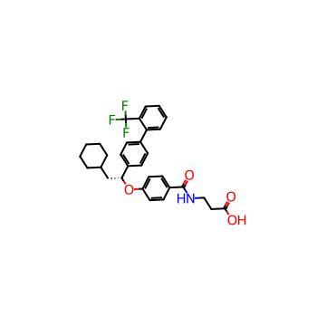 O=C(O)CCNC(=O)c1ccc(O[C@H](CC2CCCCC2)c2ccc(-c3ccccc3C(F)(F)F)cc2)cc1